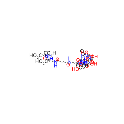 O=C(O)CC[C@H](NC(=O)N[C@@H](CCCCNC(=O)CCCCCCC(=O)NCCCC[C@@H](NC(=O)[C@@H](CCc1ccc2ccccc2c1)NC(=O)[C@@H](Cc1ccc(O)cc1)NC(=O)[C@H](CO)NC(=O)[C@H](CO)NC(=O)[C@H](CO)NC(=O)CS)C(=O)O)C(=O)O)C(=O)O